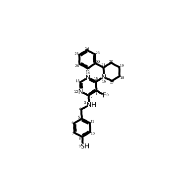 Fc1c(NCc2ccc(S)cc2)ncnc1N1CCCCC1c1ccccc1